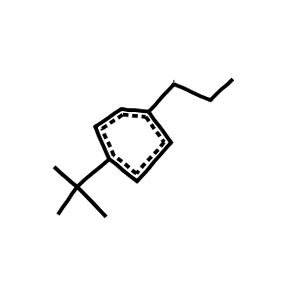 CC[CH]c1ccc(C(C)(C)C)cc1